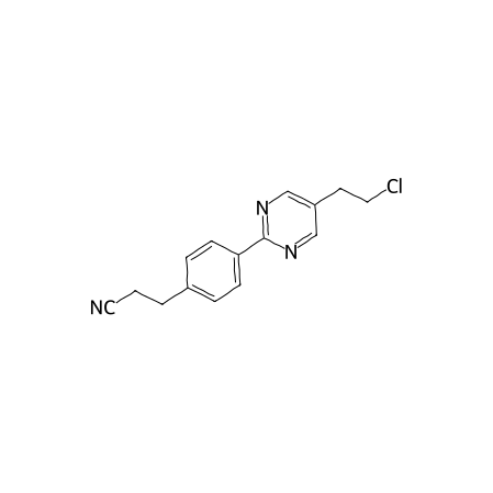 N#CCCc1ccc(-c2ncc(CCCl)cn2)cc1